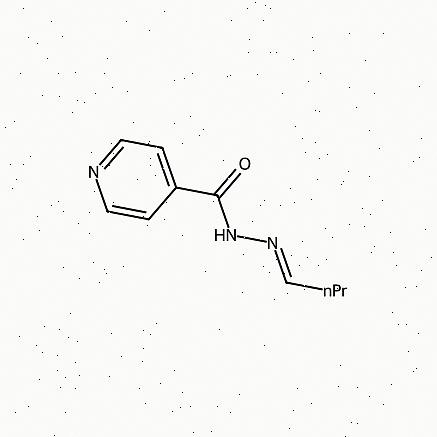 CCCC=NNC(=O)c1ccncc1